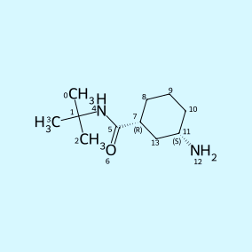 CC(C)(C)NC(=O)[C@@H]1CCC[C@H](N)C1